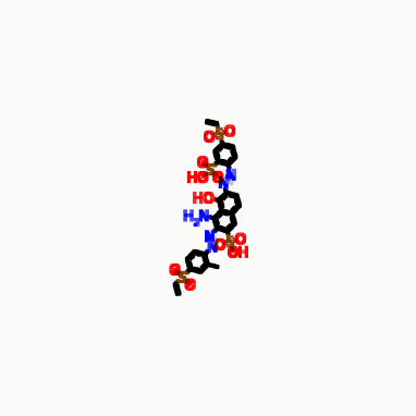 C=CS(=O)(=O)c1ccc(/N=N/c2c(S(=O)(=O)O)cc3ccc(/N=N/c4ccc(S(=O)(=O)C=C)cc4S(=O)(=O)O)c(O)c3c2N)c(C)c1